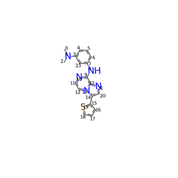 CN(C)c1cccc(Nc2nccn3c(-c4cccs4)cnc23)c1